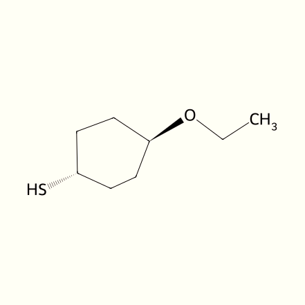 CCO[C@H]1CC[C@H](S)CC1